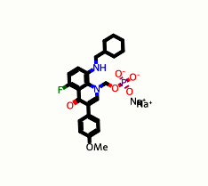 COc1ccc(-c2cn(COP(=O)([O-])[O-])c3c(NCC4CCCCC4)ccc(F)c3c2=O)cc1.[Na+].[Na+]